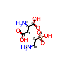 NC(CC(=O)O)C(=O)O.NCCS(=O)(=O)O